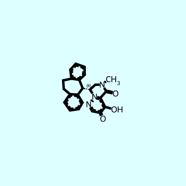 CN1C[C@@H](C2c3ccccc3CCc3ccccc32)n2ncc(=O)c(O)c2C1=O